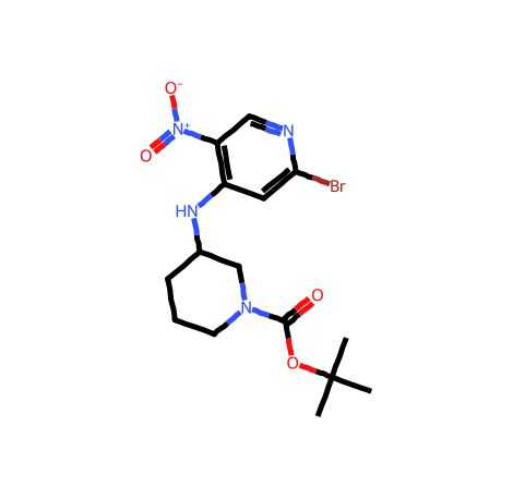 CC(C)(C)OC(=O)N1CCCC(Nc2cc(Br)ncc2[N+](=O)[O-])C1